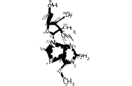 COc1nc(N)nc2c1ncn2[C@@H]1OC(CO)[C@@H](O)[C@@]1(C)O